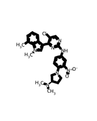 Cc1cccc2c(-c3nc(Nc4ccc(N5CC[C@@H](N(C)C)C5)c([N+](=O)[O-])c4)ncc3Cl)cn(C)c12